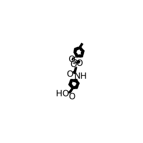 Cc1ccc(S(=O)(=O)OCC(=O)Nc2ccc(C(=O)O)cc2)cc1